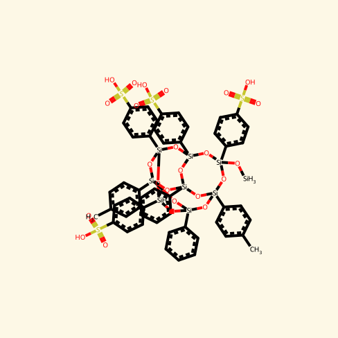 Cc1ccc([Si]23O[Si](O[SiH3])(c4ccc(S(=O)(=O)O)cc4)O[Si]4(c5ccc(S(=O)(=O)O)cc5)O[Si]5(c6ccc(S(=O)(=O)O)cc6)O[SiH](c6ccc(S(=O)(=O)O)cc6)O[Si](c6ccccc6)(O2)O[Si](c2ccc(C)cc2)(O5)O[Si](c2ccccc2)(O3)O4)cc1